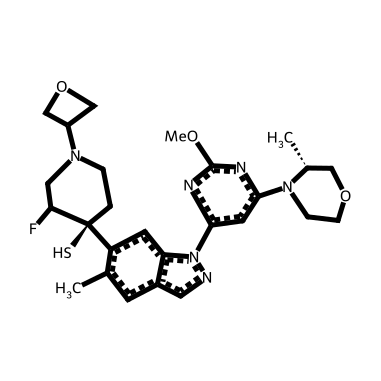 COc1nc(N2CCOC[C@H]2C)cc(-n2ncc3cc(C)c([C@@]4(S)CCN(C5COC5)CC4F)cc32)n1